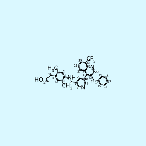 Cc1cc(NCc2cncc(-c3c(Cc4ccccc4)cnc4c(C(F)(F)F)cccc34)c2)c(C)cc1CC(=O)O